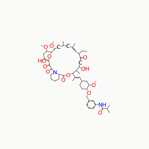 CCC1/C=C(\C)CC(C)CC(OC)C2OC(O)(C(=O)C(=O)N3CCCCC3C(=O)OC(C(C)=CC3CCC(OCc4cccc(NC(=O)C(C)C)c4)C(OC)C3)C(C)C(O)CC1=O)C(C)CC2OC